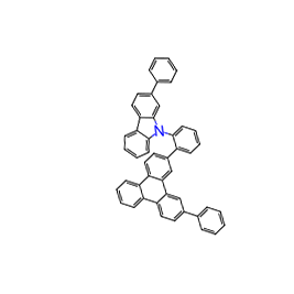 c1ccc(-c2ccc3c4ccccc4c4ccc(-c5ccccc5-n5c6ccccc6c6ccc(-c7ccccc7)cc65)cc4c3c2)cc1